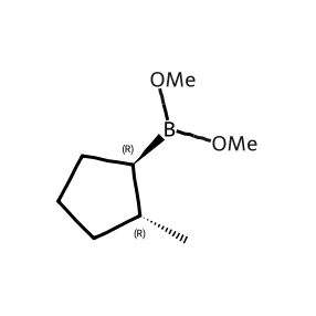 COB(OC)[C@@H]1CCC[C@H]1C